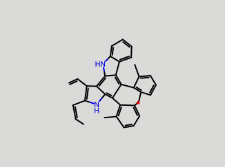 C=Cc1c(/C=C\C)[nH]c2c(-c3c(C)cccc3C)c(-c3c(C)cccc3C)c3c4ccccc4[nH]c3c12